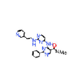 CNC(=O)c1cnc(-c2ccccc2)nc1Nc1ccnc(NCCc2cccnc2)n1